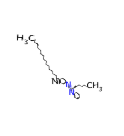 CCCCCC#CC(/C=N/c1ccc(CCCCCCCCCCCCCCCCC)cc1)=N\c1ccccc1.[Ni]